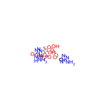 Nc1nc2c(nnn2[C@@H]2SC(OC(O)OC[C@H]3C[C@H](c4cnn5c(N)ncnc45)O[C@@H]3COP)[C@@H](O)[C@H]2OS)c(=O)[nH]1